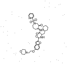 O=C(NC(CC1CCCCC1)C(=O)N[C@H]1CCCN(S(=O)(=O)c2ccccn2)CC1=O)c1cc2cc(OCCN3CCOCC3)ccc2o1